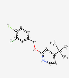 CC(C)(C)c1ccnc(OCc2ccc(F)c(Cl)c2)c1